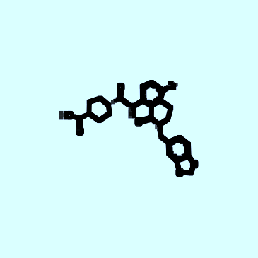 O=C1c2c(NC(=O)[C@H]3CC[C@H](C(=O)O)CC3)ccc(Br)c2CCN1Cc1ccc2c(c1)OCO2